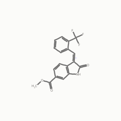 COC(=O)c1ccc2c(c1)NC(=O)/C2=C/c1ccccc1C(F)(F)F